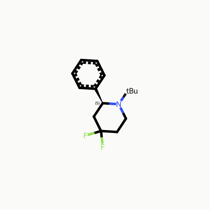 CC(C)(C)N1CCC(F)(F)C[C@H]1c1ccccc1